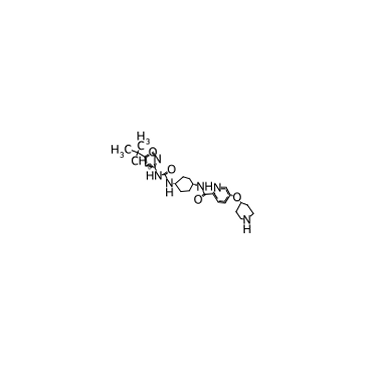 CC(C)(C)c1cc(NC(=O)N[C@H]2CC[C@H](NC(=O)c3ccc(OC4CCNCC4)cn3)CC2)no1